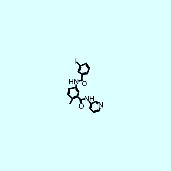 Cc1ccc(NC(=O)c2cccc(I)c2)cc1C(=O)Nc1cccnc1